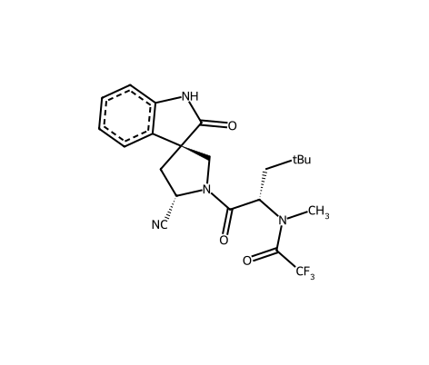 CN(C(=O)C(F)(F)F)[C@@H](CC(C)(C)C)C(=O)N1C[C@]2(C[C@H]1C#N)C(=O)Nc1ccccc12